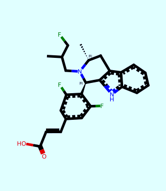 CC(CF)CN1[C@H](c2c(F)cc(C=CC(=O)O)cc2F)c2[nH]c3ccccc3c2C[C@H]1C